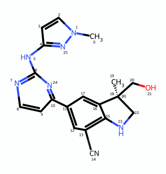 Cn1ccc(Nc2nccc(-c3cc(C#N)c4c(c3)[C@@](C)(CO)CN4)n2)n1